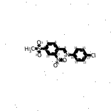 CS(=O)(=O)c1ccc(/C=N/c2ccc(Cl)cc2)c([N+](=O)[O-])c1